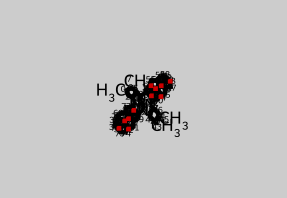 Cc1cc2c(cc1C)N(c1ccc3c(ccc4ccccc43)c1)C(=C1N(c3ccc4c(ccc5ccccc54)c3)c3cc(C)c(C)cc3N1c1ccc3c(ccc4ccccc43)c1)N2c1ccc2c(ccc3ccccc32)c1